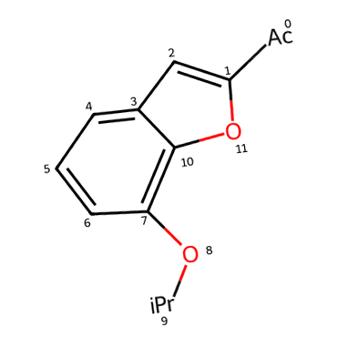 CC(=O)c1cc2cccc(OC(C)C)c2o1